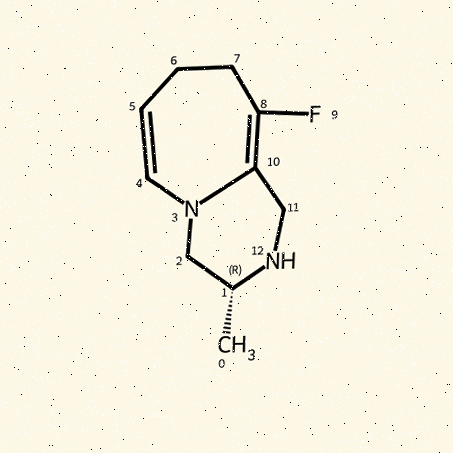 C[C@@H]1CN2C=CCCC(F)=C2CN1